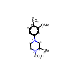 COc1cc(N2CCN(C(=O)O)C(C(C)(C)C)C2)ccc1[N+](=O)[O-]